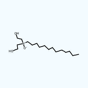 CCCCCCCCCCCCC[N+]([O-])(CCO)CCO